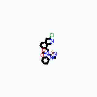 O=C1Oc2ccccc2[N+]1(Cc1cccc2cc(Cl)ncc12)c1ncns1